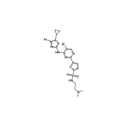 CC(=O)n1nc(Nc2nc(-c3ccc(S(=O)(=O)NCCN(C)C)s3)ncc2Br)cc1C1CC1